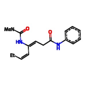 CC/C=C\C(=C/CC(=O)Nc1ccccc1)NC(=O)NC